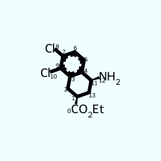 CCOC(=O)[C@H]1Cc2c(ccc(Cl)c2Cl)[C@@H](N)C1